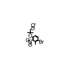 COOCC(C)(C)Oc1ccc(Br)c(C)c1[N+](=O)[O-]